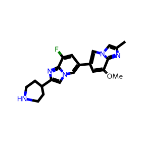 COc1cc(-c2cc(F)c3nc(C4CCNCC4)cn3c2)cn2cc(C)nc12